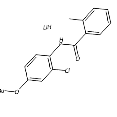 CCCCOc1ccc(PC(=O)c2ccccc2C)c(Cl)c1.[LiH]